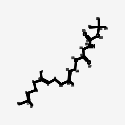 CC(C)=CCCC(C)=CCCC(C)=CCOC(=O)CNC(=O)OC(C)(C)C